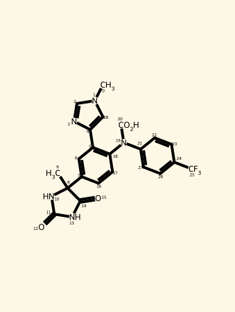 Cn1cnc(-c2cc(C3(C)NC(=O)NC3=O)ccc2N(C(=O)O)c2ccc(C(F)(F)F)cc2)c1